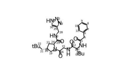 CC[C@H](C)[C@H](NC(=O)Cc1ccccc1)C(=O)NCC(=O)N1C[C@H](CC(C)(C)C)CC1C(=O)NCc1c[nH]nn1